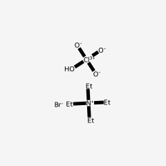 CC[N+](CC)(CC)CC.[Br-].[O-][Cl+3]([O-])([O-])O